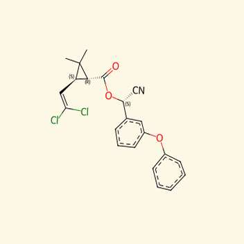 CC1(C)[C@H](C=C(Cl)Cl)[C@H]1C(=O)O[C@H](C#N)c1cccc(Oc2ccccc2)c1